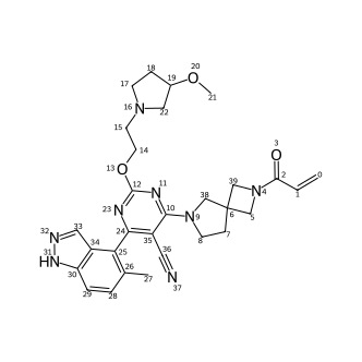 C=CC(=O)N1CC2(CCN(c3nc(OCCN4CCC(OC)C4)nc(-c4c(C)ccc5[nH]ncc45)c3C#N)C2)C1